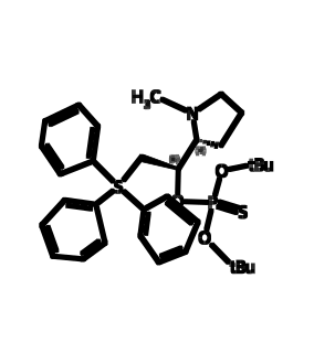 CN1CCC[C@@H]1[C@H](CS(c1ccccc1)(c1ccccc1)c1ccccc1)OP(=S)(OC(C)(C)C)OC(C)(C)C